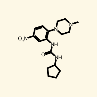 CN1CCN(c2ccc([N+](=O)[O-])cc2NC(=O)NC2CCCC2)CC1